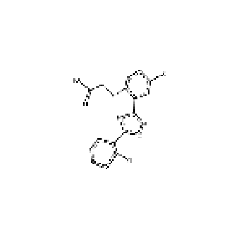 O=C(O)COc1ccc(Br)cc1-c1noc(-c2ccccc2Cl)n1